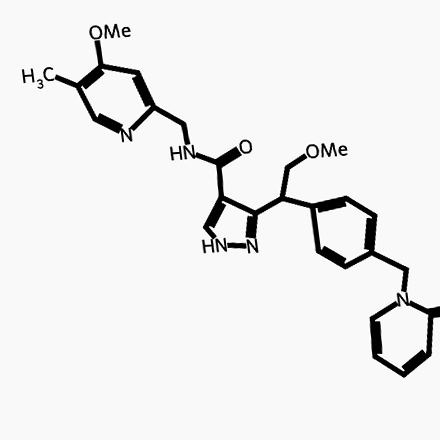 COCC(c1ccc(Cn2ccccc2=O)cc1)c1n[nH]cc1C(=O)NCc1cc(OC)c(C)cn1